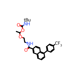 CC(OCCNC(=O)c1ccc2c(-c3ccc(C(F)(F)F)cc3)cccc2c1)OC(=O)NC(C)(C)C